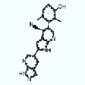 Cc1ccc(O)c(C)c1-c1cnc2[nH]c(-c3cnc4[nH]ncc4c3)cc2c1C#N